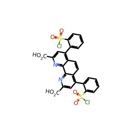 O=C(O)c1cc(-c2ccccc2S(=O)(=O)Cl)c2ccc3c(-c4ccccc4S(=O)(=O)Cl)cc(C(=O)O)nc3c2n1